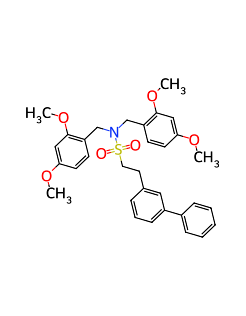 COc1ccc(CN(Cc2ccc(OC)cc2OC)S(=O)(=O)CCc2cccc(-c3ccccc3)c2)c(OC)c1